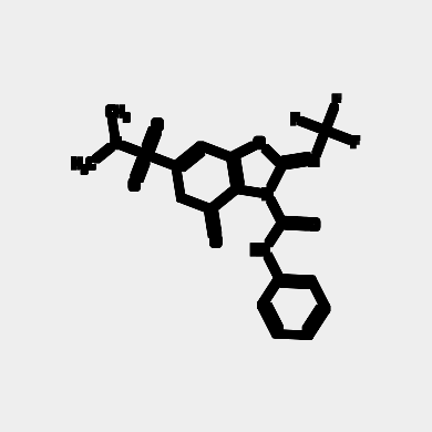 CN(C)S(=O)(=O)C1=Cc2oc(=NC(F)(F)F)n(C(=O)Nc3ccccc3)c2C(=O)C1